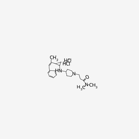 CC(=Cc1ccccc1)C1CC1NC1CCN(CCC(=O)N(C)C)CC1.Cl.Cl